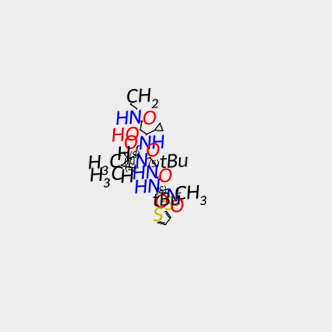 C=CCNC(=O)C(O)C(NC(=O)[C@@H]1[C@@H]2[C@H](CN1C(=O)[C@@H](NC(=O)N[C@H](CN(C)S(=O)(=O)c1cccs1)C(C)(C)C)C(C)(C)C)C2(C)C)C1CC1